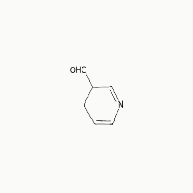 O=CC1C=NC=CC1